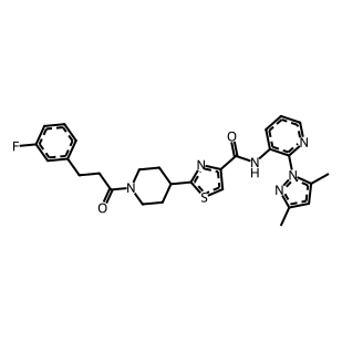 Cc1cc(C)n(-c2ncccc2NC(=O)c2csc(C3CCN(C(=O)CCc4cccc(F)c4)CC3)n2)n1